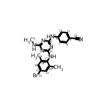 CNc1nc(Nc2ccc(C#N)cc2)nc(Nc2c(C)cc(Br)cc2C)n1